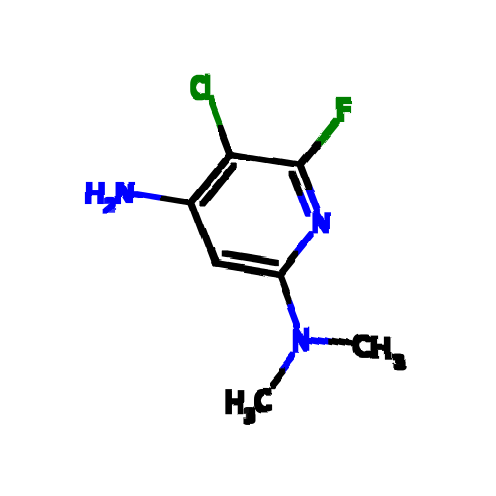 CN(C)c1cc(N)c(Cl)c(F)n1